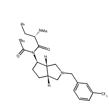 CN[C@@H](CC(C)C)C(=O)N(C(=O)C(C)(C)C)[C@@H]1CC[C@H]2CN(Cc3cccc(C(F)(F)F)c3)C[C@H]21